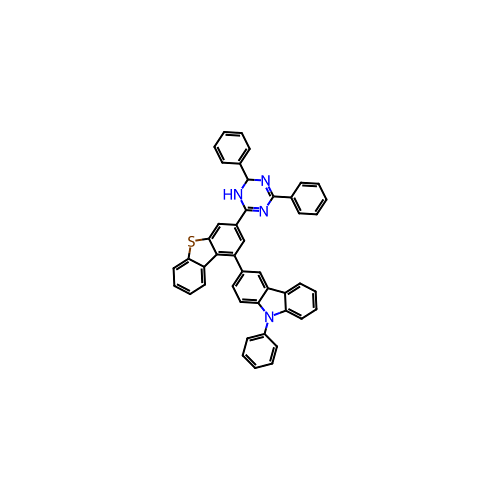 c1ccc(C2=NC(c3ccccc3)NC(c3cc(-c4ccc5c(c4)c4ccccc4n5-c4ccccc4)c4c(c3)sc3ccccc34)=N2)cc1